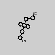 [C-]#[N+]c1cccc(-c2cccc(-c3c4ccccc4c(-c4ccc(-c5cccc(C#N)c5)cc4)c4ccccc34)c2)c1